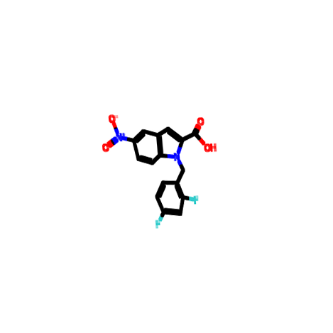 O=C(O)c1cc2cc([N+](=O)[O-])ccc2n1Cc1ccc(F)cc1F